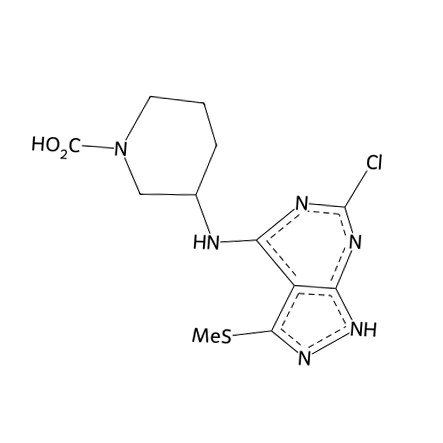 CSc1n[nH]c2nc(Cl)nc(NC3CCCN(C(=O)O)C3)c12